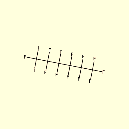 FC(F)(F)C(F)(F)C(F)(F)C(F)(F)C(F)(F)C(F)(I)I